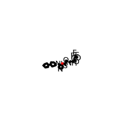 O=C(CCNC(=O)c1cc2c(Nc3ccc(-c4ccccc4)cc3)cncc2s1)OC(=O)C(F)(F)F